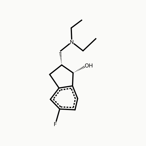 CCN(CC)C[C@H]1Cc2cc(F)ccc2[C@H]1O